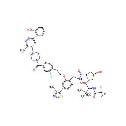 Cc1ncsc1-c1ccc(CNC(=O)[C@@H]2C[C@@H](O)CN2C(=O)[C@@H](NC(=O)C2(F)CC2)C(C)(C)C)c(OCCc2ccc(C(=O)N3CCN(c4cc(-c5ccccc5O)nnc4N)CC3)cc2F)c1